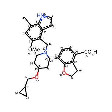 COc1cc(C)c2[nH]ccc2c1CN1CC[C@H](OCC2CC2)C[C@H]1c1ccc(C(=O)O)c2c1OCC2